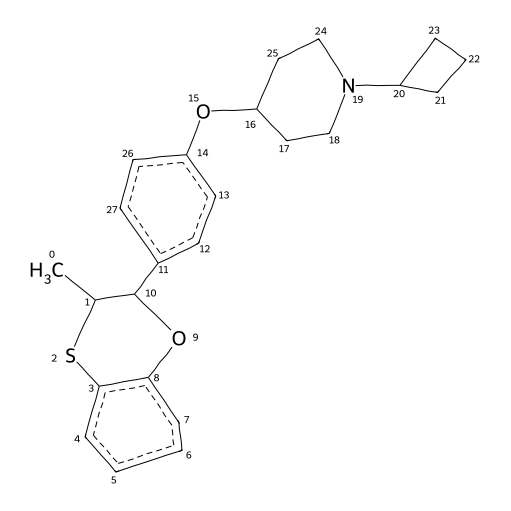 CC1Sc2ccccc2OC1c1ccc(OC2CCN(C3CCC3)CC2)cc1